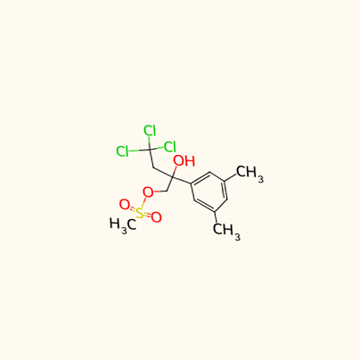 Cc1cc(C)cc(C(O)(COS(C)(=O)=O)CC(Cl)(Cl)Cl)c1